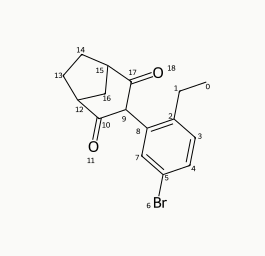 CCc1ccc(Br)cc1C1C(=O)C2CCC(C2)C1=O